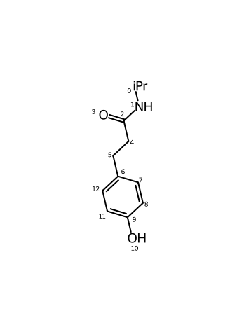 CC(C)NC(=O)CCc1ccc(O)cc1